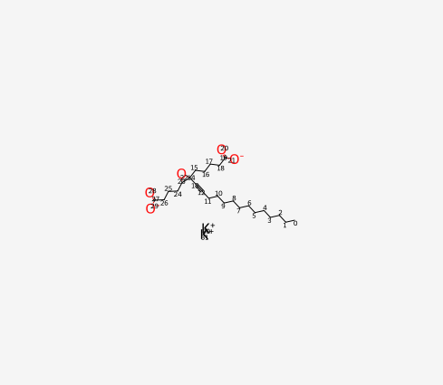 CCCCCCCCCCCCC#CC1(CCCCC(=O)[O-])OC1CCCC(=O)[O-].[K+].[K+]